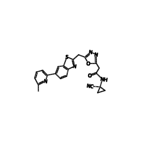 Cc1cccc(-c2ccc3nc(Cc4nnc(CC(=O)NC5(C#N)CC5)o4)sc3c2)n1